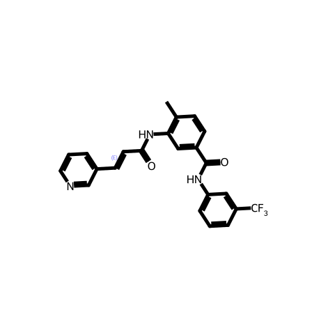 Cc1ccc(C(=O)Nc2cccc(C(F)(F)F)c2)cc1NC(=O)/C=C/c1cccnc1